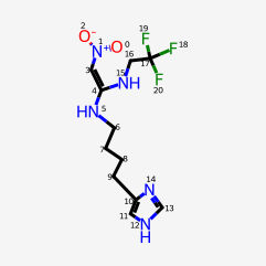 O=[N+]([O-])C=C(NCCCCc1c[nH]cn1)NCC(F)(F)F